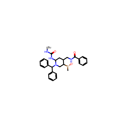 CCCCNC(=O)NC1CC(CNC(=O)c2ccccc2)C([S+](C)[O-])CN1C(c1ccccc1)c1ccccc1